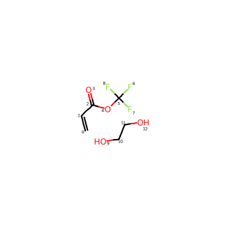 C=CC(=O)OC(F)(F)F.OCCO